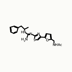 CC(=O)NCc1ccc(-c2csc(N=C(N)NC(C)Cc3ccccc3)n2)o1